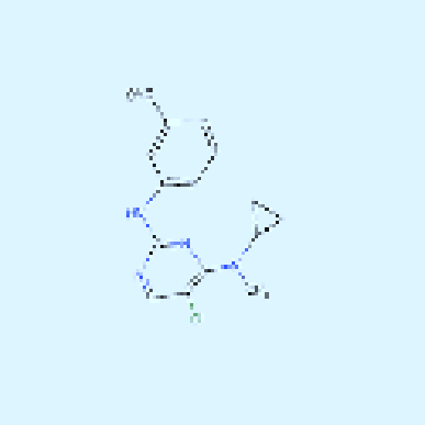 CN(c1nc(Nc2cccc(C=O)c2)ncc1Cl)C1CC1